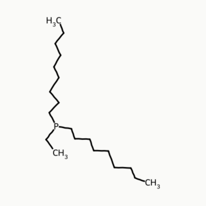 CCCCCCCCCP(CC)CCCCCCCCC